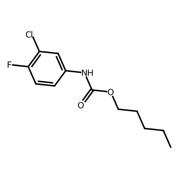 CCCCCOC(=O)Nc1ccc(F)c(Cl)c1